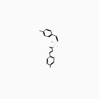 O=C(/C=C/c1ccc(I)cc1)N[S+]([O-])/C=C\c1ccc(I)cc1